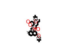 CCCCCC(=O)O[C@H]1C[C@H](O[Si](C)(C)C(C)(C)C)C=C2C=C[C@H](C)[C@H](CC[C@H]3C[C@@H](O[Si](C)(C)C(C)(C)C)CC(=O)O3)[C@H]21